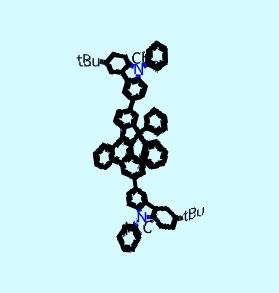 CC(C)(C)C1CCC2(C)C(C1)c1cc(-c3ccc4c(c3)C(c3ccccc3)(c3ccccc3)c3c-4c4ccccc4c4cc(-c5ccc6c(c5)C5CC(C(C)(C)C)CCC5(C)N6c5ccccc5)ccc34)ccc1N2c1ccccc1